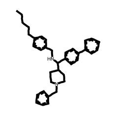 CCCCCc1ccc(CNC(c2ccc(-c3ccccc3)cc2)C2CCN(Cc3ccccc3)CC2)cc1